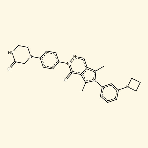 Cc1c2cnn(-c3ccc(N4CCNC(=O)C4)cc3)c(=O)c2c(C)n1-c1cccc(N2CCC2)c1